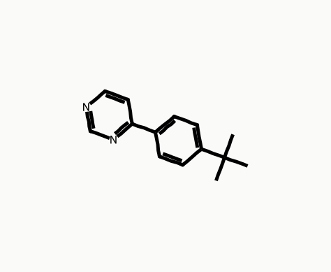 CC(C)(C)c1ccc(-c2ccncn2)cc1